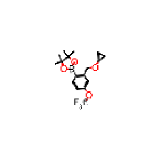 CC1(C)OB(c2ccc(OC(F)(F)F)cc2COC2CC2)OC1(C)C